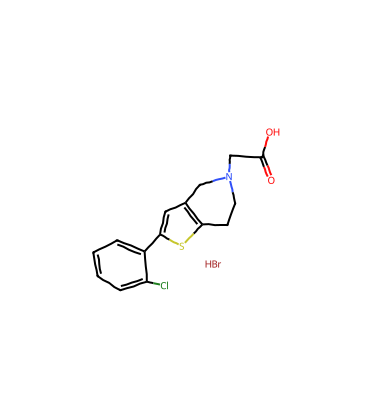 Br.O=C(O)CN1CCc2sc(-c3ccccc3Cl)cc2C1